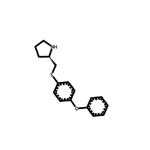 c1ccc(Oc2ccc(SC[C@H]3CCCN3)cc2)cc1